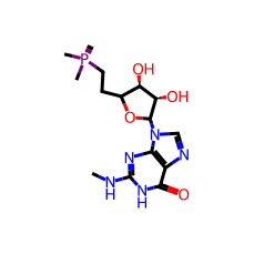 C=P(C)(C)CCC1OC(n2cnc3c(=O)[nH]c(NC)nc32)[C@H](O)[C@@H]1O